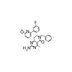 COc1cccc(-c2cc(F)ccc2[C@H]2Cc3nc(N)nc(C)c3C(=O)N2Cc2ccccc2)n1